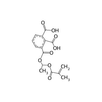 C=C(C)C(=O)OC(C)OC(=O)c1cccc(C(=O)O)c1C(=O)O